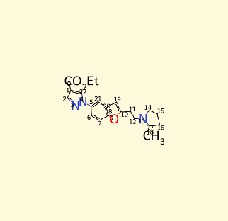 CCOC(=O)c1cnn(-c2ccc3oc(CCN4CCCC4C)cc3c2)c1